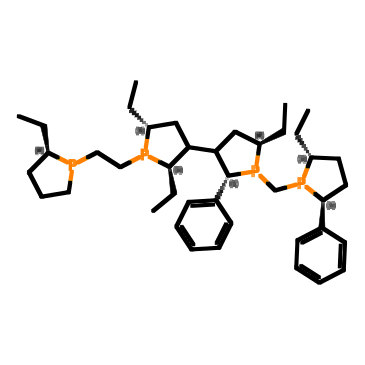 CC[C@@H]1CCCP1CCP1[C@H](CC)CC(C2C[C@@H](CC)P(CP3[C@H](CC)CC[C@H]3c3ccccc3)[C@@H]2c2ccccc2)[C@H]1CC